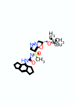 CC(C)(C)[Si](C)(C)OC[C@H]1Cn2ncc([S@@](C)(=O)=NC(=O)Nc3c4c(cc5c3CCC5)CCC4)c2O1